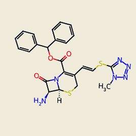 Cn1nnnc1SC=CC1=C(C(=O)OC(c2ccccc2)c2ccccc2)N2C(=O)[C@H](N)[C@@H]2SC1